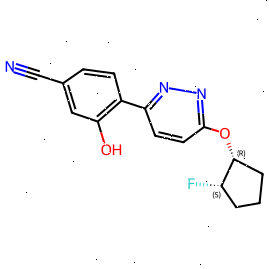 N#Cc1ccc(-c2ccc(O[C@@H]3CCC[C@@H]3F)nn2)c(O)c1